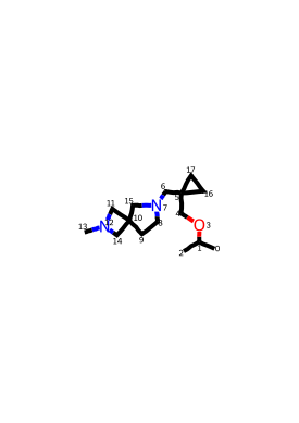 CC(C)OCC1(CN2CCC3(CN(C)C3)C2)CC1